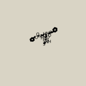 O=C(NCCC[C@H](NC(=O)OCc1ccccc1)C(=O)Nc1n[nH]c(=S)s1)OCc1ccccc1